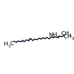 CCCCC/C=C/C/C=C/CCCCCCCCCC(N)CCCCCC(C)C